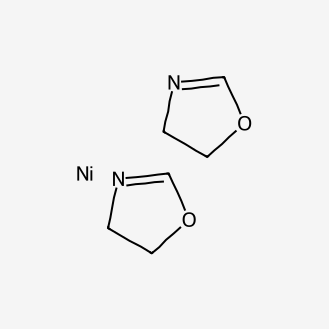 C1=NCCO1.C1=NCCO1.[Ni]